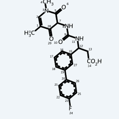 CC1=CN(C)C(=O)C(NC(=O)NC(CC(=O)O)c2cccc(-c3ccc(F)cc3)c2)C1=O